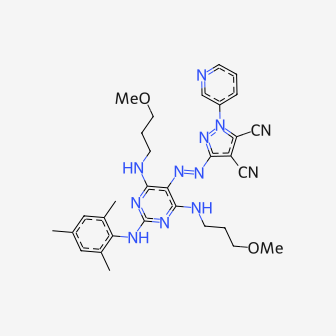 COCCCNc1nc(Nc2c(C)cc(C)cc2C)nc(NCCCOC)c1N=Nc1nn(-c2cccnc2)c(C#N)c1C#N